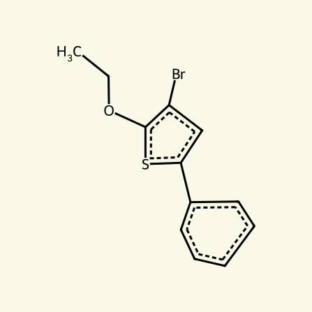 CCOc1sc(-c2ccccc2)cc1Br